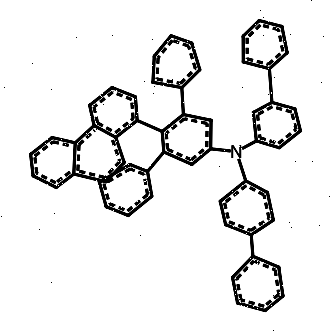 c1ccc(-c2ccc(N(c3cccc(-c4ccccc4)c3)c3cc(-c4ccccc4)c(-c4cccc5c4ccc4ccccc45)c(-c4ccccc4)c3)cc2)cc1